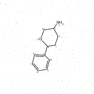 NC1CCC(c2ccccc2)OC1